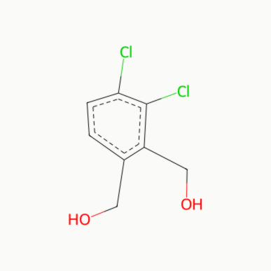 OCc1ccc(Cl)c(Cl)c1CO